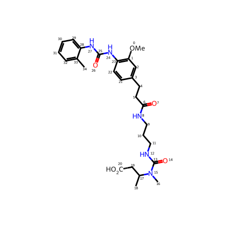 COc1cc(CCC(=O)NCCCNC(=O)N(C)C(C)CC(=O)O)ccc1NC(=O)Nc1ccccc1C